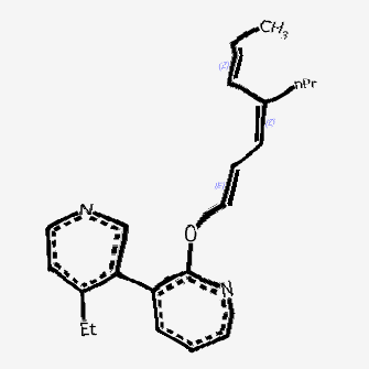 C\C=C/C(=C\C=C\Oc1ncccc1-c1cnccc1CC)CCC